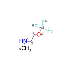 CNCCOC(F)(F)F